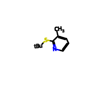 Cc1cccnc1SC(C)(C)C